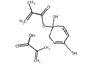 C=C(C)C(=O)O.C=C(C)C(=O)OC1(S)C=CC(S)=CC1